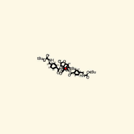 CC(C)(C)OC(=O)NCc1ccc(C(=O)OC2OC(=O)C(OC(=O)c3ccc(CNC(=O)OC(C)(C)C)cc3)C23C24CC(=O)OC2CC3(C(C)(C)C)OC4=O)cc1